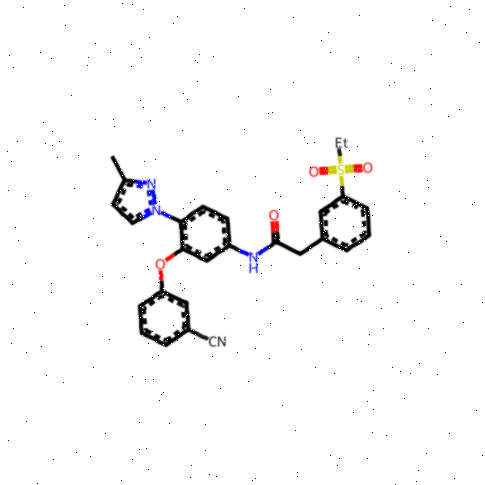 CCS(=O)(=O)c1cccc(CC(=O)Nc2ccc(-n3ccc(C)n3)c(Oc3cccc(C#N)c3)c2)c1